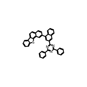 c1ccc(-c2nc(-c3ccccc3)nc(-c3cc(-c4ccc5ccc6c7ccccc7sc6c5c4)c4ccccc4c3)n2)cc1